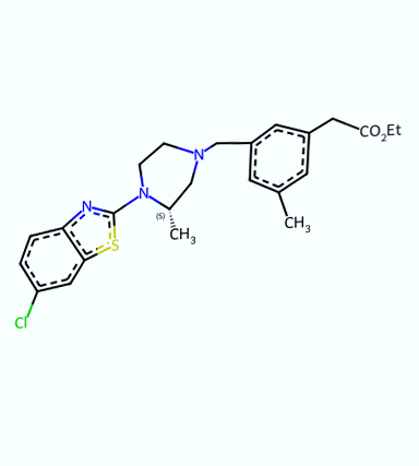 CCOC(=O)Cc1cc(C)cc(CN2CCN(c3nc4ccc(Cl)cc4s3)[C@@H](C)C2)c1